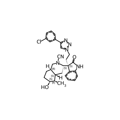 C[C@@H]1[C@H]2C[C@@H]([C@@]3(CCn4cc(-c5cccc(Cl)c5)nn4)C(=O)Nc4ccccc43)N(C#N)C[C@@H]2CC[C@@H]1O